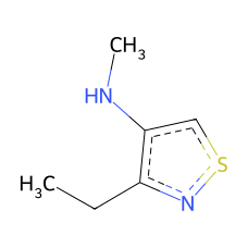 CCc1nscc1NC